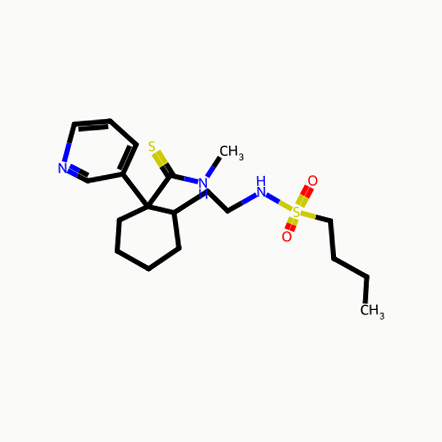 CCCCS(=O)(=O)NCCC1CCCCC1(C(=S)NC)c1cccnc1